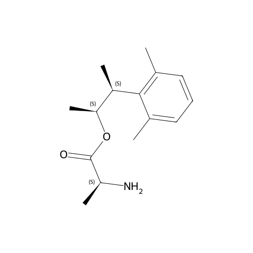 Cc1cccc(C)c1[C@H](C)[C@H](C)OC(=O)[C@H](C)N